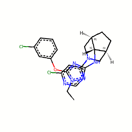 CCn1nc(N[C@@H]2[C@@H]3CC[C@H]2CN(c2cc(Cl)ncn2)C3)nc1Oc1cccc(Cl)c1